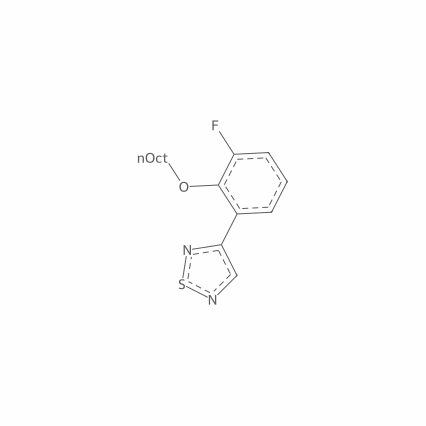 CCCCCCCCOc1c(F)cccc1-c1cnsn1